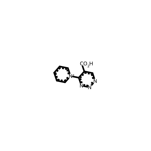 O=C(O)c1cnnnc1-[n+]1ccccc1